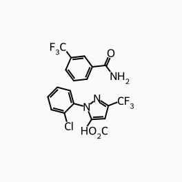 NC(=O)c1cccc(C(F)(F)F)c1.O=C(O)c1cc(C(F)(F)F)nn1-c1ccccc1Cl